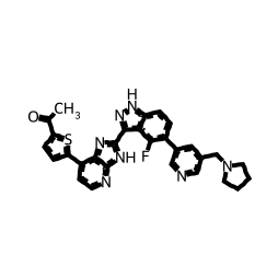 CC(=O)c1ccc(-c2ccnc3[nH]c(-c4n[nH]c5ccc(-c6cncc(CN7CCCC7)c6)c(F)c45)nc23)s1